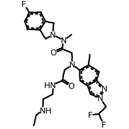 CCNCCNC(=O)CN(CC(=O)N(C)N1Cc2ccc(F)cc2C1)c1cc2cn(CC(F)F)nc2cc1C